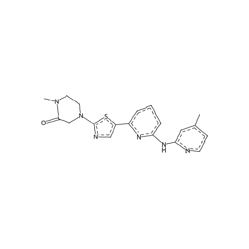 Cc1ccnc(Nc2cccc(-c3cnc(N4CCN(C)C(=O)C4)s3)n2)c1